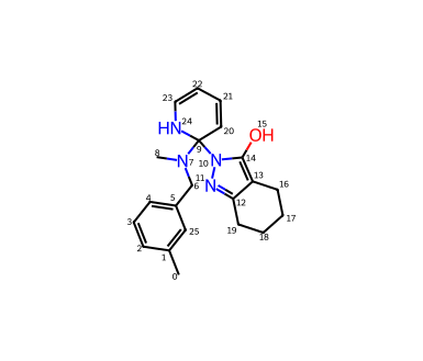 Cc1cccc(CN(C)C2(n3nc4c(c3O)CCCC4)C=CC=CN2)c1